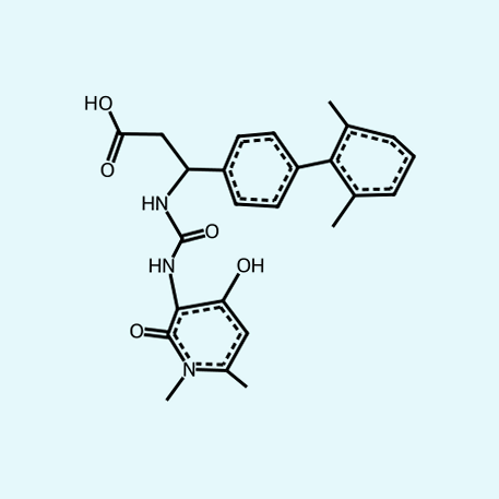 Cc1cccc(C)c1-c1ccc(C(CC(=O)O)NC(=O)Nc2c(O)cc(C)n(C)c2=O)cc1